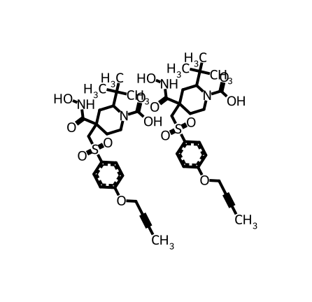 CC#CCOc1ccc(S(=O)(=O)CC2(C(=O)NO)CCN(C(=O)O)C(C(C)(C)C)C2)cc1.CC#CCOc1ccc(S(=O)(=O)CC2(C(=O)NO)CCN(C(=O)O)C(C(C)(C)C)C2)cc1